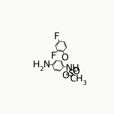 CS(=O)(=O)Nc1ccc(N)cc1Oc1ccc(F)cc1F